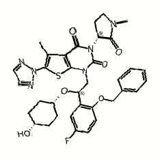 Cc1c(-n2nccn2)sc2c1c(=O)n([C@@H]1CCN(C)C1=O)c(=O)n2C[C@H](O[C@H]1CC[C@@H](O)CC1)c1cc(F)ccc1OCc1ccccc1